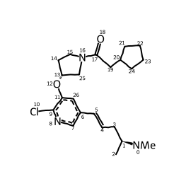 CN[C@@H](C)C/C=C/c1cnc(Cl)c(O[C@@H]2CCN(C(=O)CC3CCCC3)C2)c1